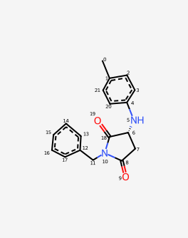 Cc1ccc(N[C@@H]2CC(=O)N(Cc3ccccc3)C2=O)cc1